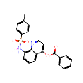 Cc1ccc(S(=O)(=O)[NH+]([O-])c2cccc3c(OC(=O)c4ccccc4)ccnc23)cc1